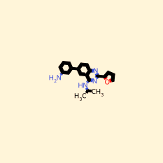 CC(C)Nc1nc(-c2ccco2)nc2ccc(-c3cccc(N)c3)cc12